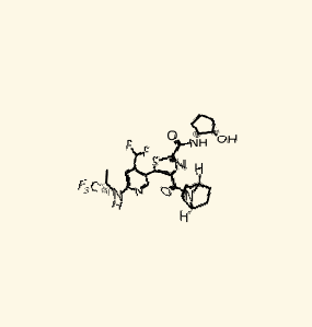 C[C@H](Nc1cc(C(F)F)c(-c2sc(C(=O)N[C@@H]3CCC[C@H]3O)nc2C(=O)N2[C@H]3CC[C@H]2CC3)cn1)C(F)(F)F